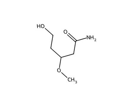 COC(CCO)CC(N)=O